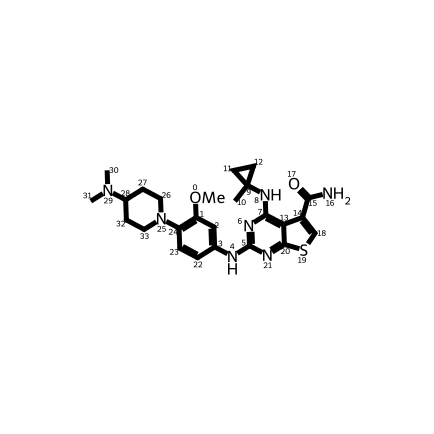 COc1cc(Nc2nc(NC3(C)CC3)c3c(C(N)=O)csc3n2)ccc1N1CCC(N(C)C)CC1